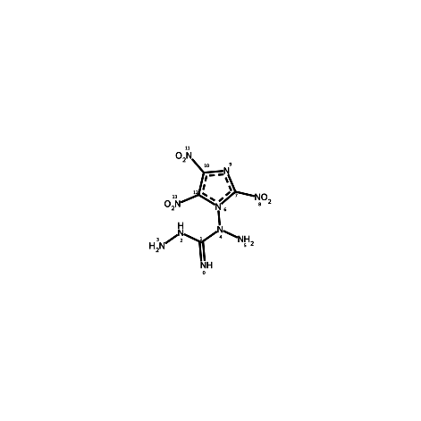 N=C(NN)N(N)n1c([N+](=O)[O-])nc([N+](=O)[O-])c1[N+](=O)[O-]